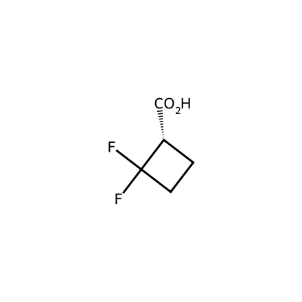 O=C(O)[C@@H]1CCC1(F)F